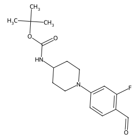 CC(C)(C)OC(=O)NC1CCN(c2ccc(C=O)c(F)c2)CC1